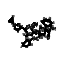 CN(C(=O)c1ccn(C2CC2)n1)[C@@H](Cc1ccccc1)C(O)N1C[C@]2(C[C@H]1C#N)C(=O)Nc1ccccc12